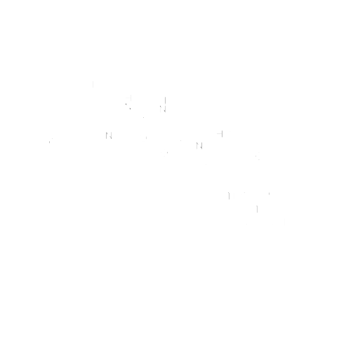 CC(C)c1cc(-c2ccccc2P(C)(C)=O)ccc1N1CC[C@@H](NC(=O)Nc2ncc(Cl)cc2F)C1=O